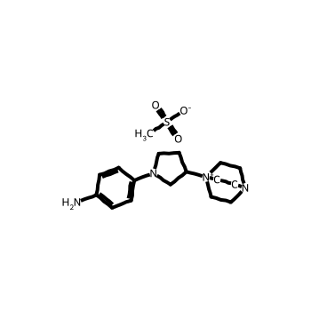 CS(=O)(=O)[O-].Nc1ccc(N2CCC([N+]34CCN(CC3)CC4)C2)cc1